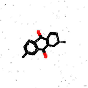 Cc1ccc2c(c1)C(=O)C1=C(C=C[C@H](C)C1)C2=O